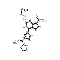 N#CCC(C1CCCC1)n1cc(-c2nc(NCCC(=O)O)nn3c(C(N)=O)ccc23)cn1